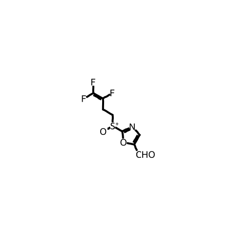 O=Cc1cnc([S+]([O-])CCC(F)=C(F)F)o1